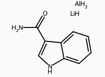 NC(=O)c1c[nH]c2ccccc12.[AlH3].[LiH]